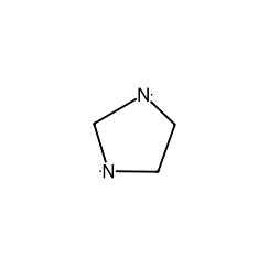 C1C[N]C[N]1